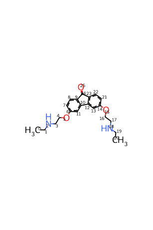 CCNCCOc1ccc2c(c1)-c1cc(OCCNCC)ccc1C2=O